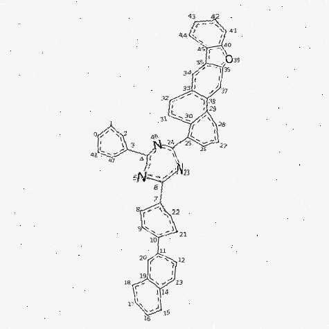 c1ccc(-c2nc(-c3ccc(-c4ccc5ccccc5c4)cc3)nc(-c3cccc4c3ccc3cc5c(cc34)oc3ccccc35)n2)cc1